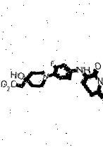 O=C(O)CC1(O)CCN(c2ccc(NC3CCC(=O)NC3=O)cc2F)CC1